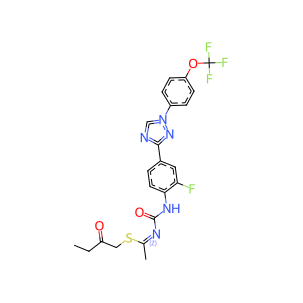 CCC(=O)CS/C(C)=N\C(=O)Nc1ccc(-c2ncn(-c3ccc(OC(F)(F)F)cc3)n2)cc1F